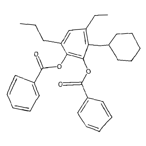 CCCc1cc(CC)c(C2CCCCC2)c(OC(=O)c2ccccc2)c1OC(=O)c1ccccc1